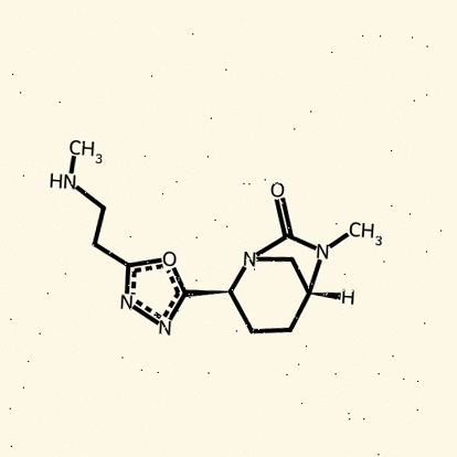 CNCCc1nnc([C@@H]2CC[C@@H]3CN2C(=O)N3C)o1